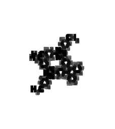 Cc1ccc(-c2nc(-c3ccc(C)cc3)nc(-c3ccc(-c4c(-c5ccc(-c6nc(-c7ccc(C)cc7)nc(-c7ccc(C)cc7)n6)cc5)c5ccccc5c5ccccc45)cc3)n2)cc1